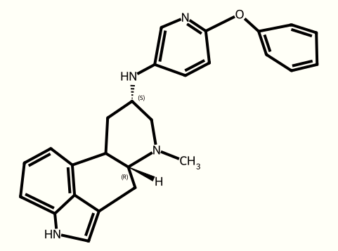 CN1C[C@@H](Nc2ccc(Oc3ccccc3)nc2)CC2c3cccc4[nH]cc(c34)C[C@H]21